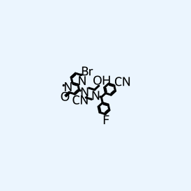 Cn1c(=O)c(C#N)c(N2CCN(C(c3ccc(F)cc3)c3ccc(C#N)cc3)C(CO)C2)c2nc(Br)ccc21